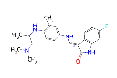 Cc1cc(N/C=C2/C(=O)Nc3cc(F)ccc32)ccc1NC(C)CN(C)C